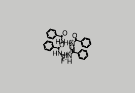 O=C([NH][Hf+][NH]C(=O)c1ccccc1)c1ccccc1.O=C([NH][Hf+][NH]C(=O)c1ccccc1)c1ccccc1.[F-].[F-]